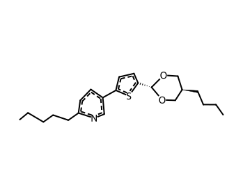 CCCCCc1ccc(-c2ccc([C@H]3OC[C@H](CCCC)CO3)s2)cn1